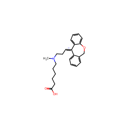 CN(CC/C=C1\c2ccccc2COc2ccccc21)CCCCCC(=O)O